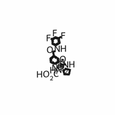 Nc1ccc(C(=O)Nc2cc(F)c(F)c(F)c2)cc1S(=O)(=O)N[C@@H]1CCC[C@@H]1NC(=O)O